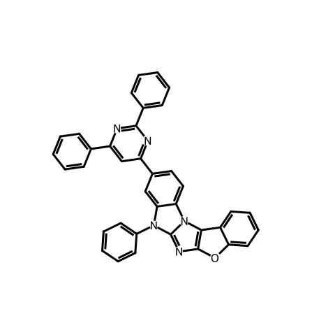 c1ccc(-c2cc(-c3ccc4c(c3)n(-c3ccccc3)c3nc5oc6ccccc6c5n43)nc(-c3ccccc3)n2)cc1